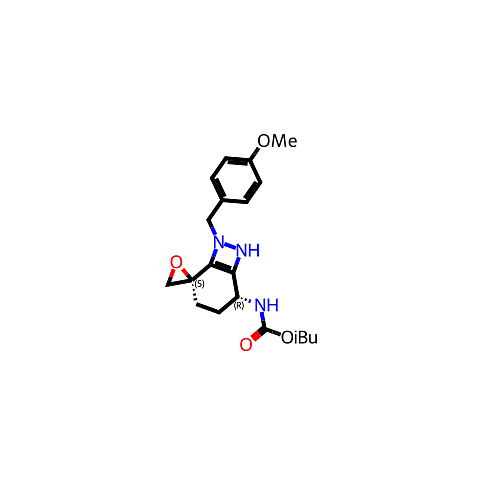 COc1ccc(Cn2[nH]c3c2[C@@]2(CC[C@H]3NC(=O)OCC(C)C)CO2)cc1